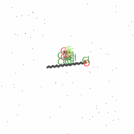 CCCCCC=CCC=CCC=CCC=CCCCC(=O)Cl.O=C(Cl)C(Cl)(Cl)C(Cl)(Cl)Cl.O=C(Cl)C(F)(Br)C(F)(F)F